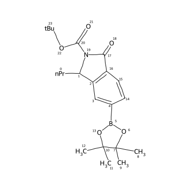 CCCC1c2cc(B3OC(C)(C)C(C)(C)O3)ccc2C(=O)N1C(=O)OC(C)(C)C